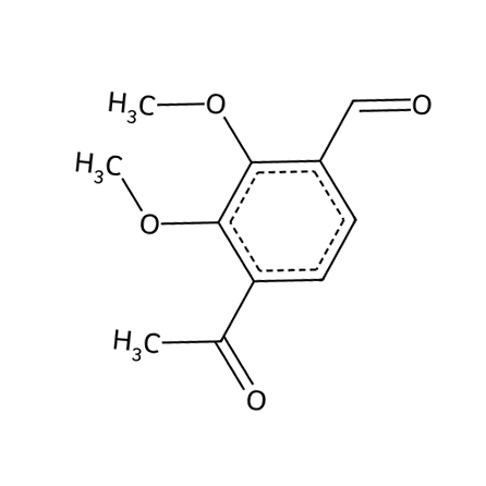 COc1c(C=O)ccc(C(C)=O)c1OC